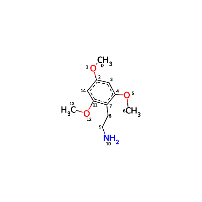 COc1cc(OC)c(CCN)c(OC)c1